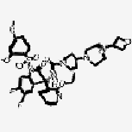 CCOc1ncccc1[C@]1(NC(=O)N2CCC(N3CCN(C4COC4)CC3)CC2)C(=O)N(S(=O)(=O)c2ccc(OC)cc2OC)c2cc(F)c(F)cc21